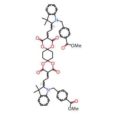 COC(=O)c1ccc(CN2/C(=C\C=C3C(=O)OC4(CCC5(CC4)OC(=O)C(=C/C=C4/N(Cc6ccc(C(=O)OC)cc6)c6ccccc6C4(C)C)C(=O)O5)OC3=O)C(C)(C)c3ccccc32)cc1